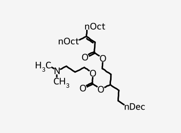 CCCCCCCCCCCCC(CCOC(=O)C=C(CCCCCCCC)CCCCCCCC)OC(=O)OCCCN(C)C